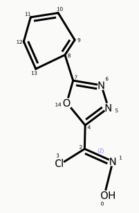 O/N=C(\Cl)c1nnc(-c2ccccc2)o1